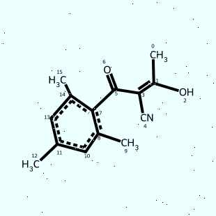 C/C(O)=C(/C#N)C(=O)c1c(C)cc(C)cc1C